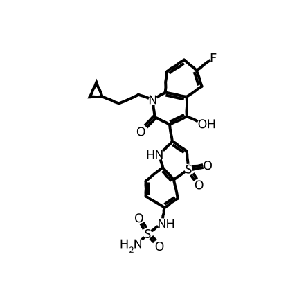 NS(=O)(=O)Nc1ccc2c(c1)S(=O)(=O)C=C(c1c(O)c3cc(F)ccc3n(CCC3CC3)c1=O)N2